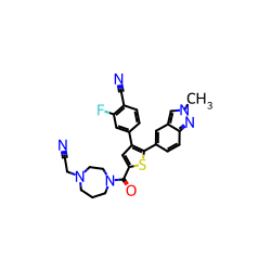 Cn1cc2cc(-c3sc(C(=O)N4CCCN(CC#N)CC4)cc3-c3ccc(C#N)c(F)c3)ccc2n1